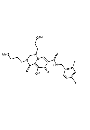 COCCCN1CN(CCOC)n2cc(C(=O)NCc3ccc(F)cc3F)c(=O)c(O)c2C1=O